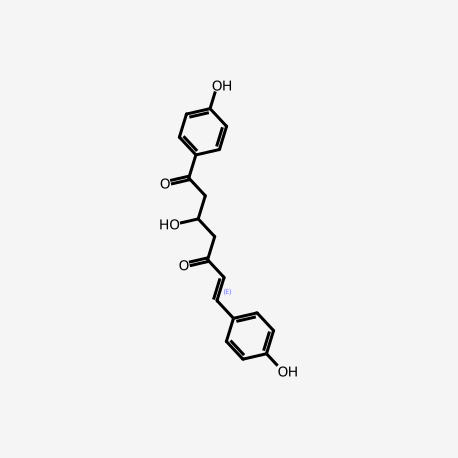 O=C(/C=C/c1ccc(O)cc1)CC(O)CC(=O)c1ccc(O)cc1